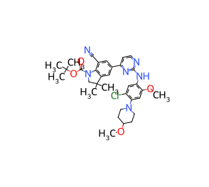 COc1cc(N2CCC(OC)CC2)c(Cl)cc1Nc1nccc(-c2cc(C#N)c3c(c2)C(C)(C)CN3C(=O)OC(C)(C)C)n1